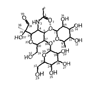 CC(=O)NC1C(OC2OC(C)C(O)C(O)C2O)C(OC2OC(CO)C(O)C(O)C2O)C(CO)OC1[C@@](C)(O)C=O